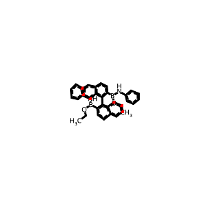 CCOB(Nc1ccccc1)c1ccc2ccccc2c1-c1c(B(Nc2ccccc2)OCC)ccc2ccccc12